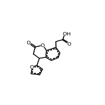 O=C(O)Cc1cccc2c1OC(=O)CC2c1ccco1